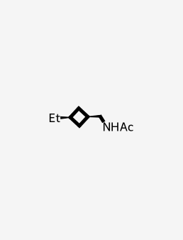 CC[C@H]1C[C@@H](CNC(C)=O)C1